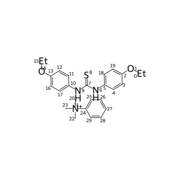 CCOc1ccc(NC(=S)Nc2ccc(OCC)cc2)cc1.C[N+](C)(C)c1ccccc1